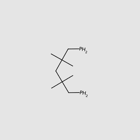 CC(C)(CP)CC(C)(C)CP